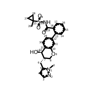 Cn1nccc1C[C@H]1COc2cc(-c3ccccc3C(=O)NS(=O)(=O)C3(C)CC3)ccc2[C@@H]1O